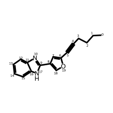 CCCCC#Cc1cc(-c2nc3ccccc3[nH]2)co1